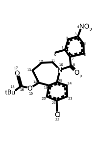 Cc1cc([N+](=O)[O-])ccc1C(=O)N1CCCC(OC(=O)C(C)(C)C)c2cc(Cl)ccc21